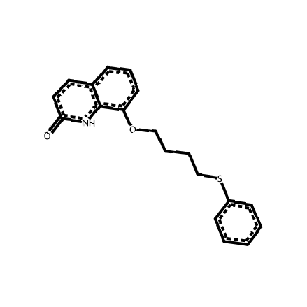 O=c1ccc2cccc(OCCCCSc3ccccc3)c2[nH]1